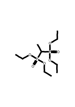 [CH2]C(P(=O)(OCC)OCC)P(=O)(OCC)OCC